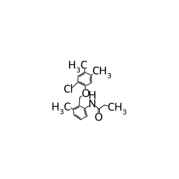 CCC(=O)Nc1cccc(C)c1COc1cc(C)c(C)cc1Cl